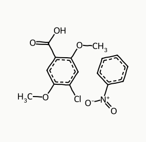 COc1cc(C(=O)O)c(OC)cc1Cl.O=[N+]([O-])c1ccccc1